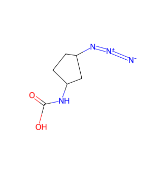 [N-]=[N+]=NC1CCC(NC(=O)O)C1